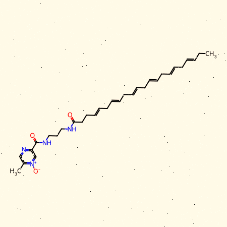 CCC=CCC=CCC=CCC=CCC=CCC=CCCC(=O)NCCCNC(=O)c1c[n+]([O-])c(C)cn1